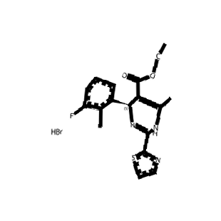 Br.CCOC(=O)C1=C(C)NC(c2nccs2)=N[C@H]1c1cccc(F)c1C